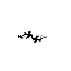 CC(C)(/C=C/C(C)(C)CO)CO